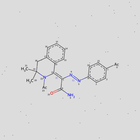 CC(=O)c1ccc(/N=N/C(C(N)=O)=C2\c3ccccc3CC(C)(C)N2C(C)=O)cc1